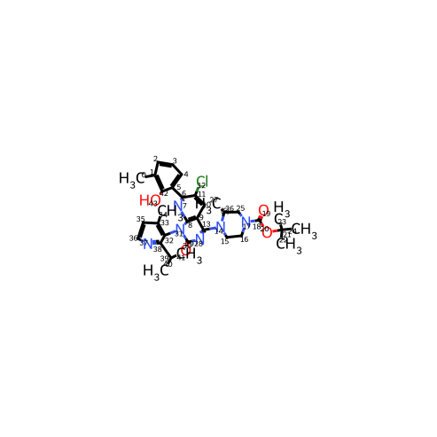 Cc1cccc(-c2nc3c(cc2Cl)c(N2CCN(C(=O)OC(C)(C)C)C[C@@H]2C)nc(=O)n3-c2c(C)ccnc2C(C)C)c1O